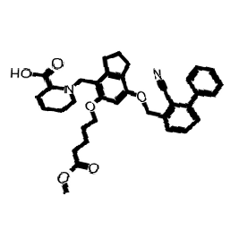 COC(=O)CCCCOc1cc(OCc2cccc(-c3ccccc3)c2C#N)c2c(c1CN1CCCCC1C(=O)O)CCC2